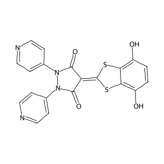 O=C1C(=C2Sc3c(O)ccc(O)c3S2)C(=O)N(c2ccncc2)N1c1ccncc1